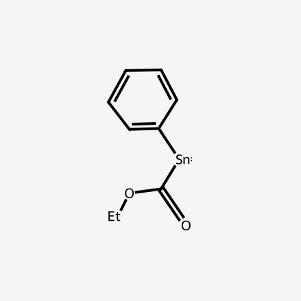 CCO[C](=O)[Sn][c]1ccccc1